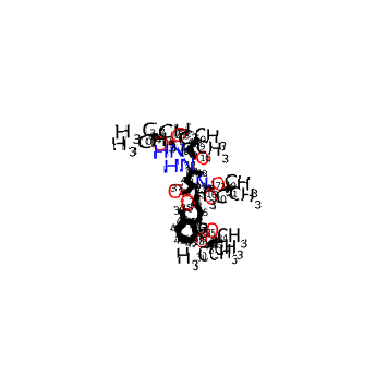 CC(C)(C)OC(=O)N[C@H](C(=O)N[C@H]1CN(C(=O)OC(C)(C)C)[C@@](CCCCB2OC(C)(C)C(C)(C)O2)(C(=O)OCc2ccccc2)C1)C(C)(C)C